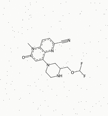 Cn1c(=O)cc(N2CCNC(COC(F)F)C2)c2nc(C#N)ccc21